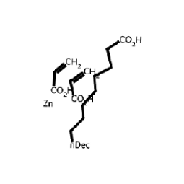 C=CC(=O)O.C=CC(=O)O.CCCCCCCCCCCCCCCCCC(=O)O.[Zn]